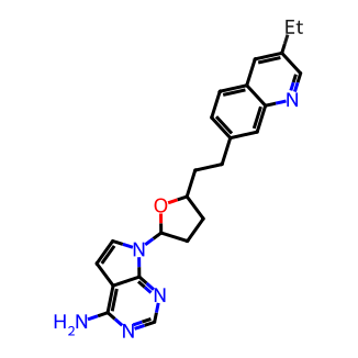 CCc1cnc2cc(CCC3CCC(n4ccc5c(N)ncnc54)O3)ccc2c1